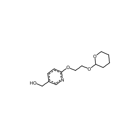 OCc1ccc(OCCOC2CCCCO2)nc1